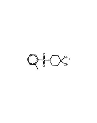 Cc1ccccc1S(=O)(=O)N1CCC(N)(O)CC1